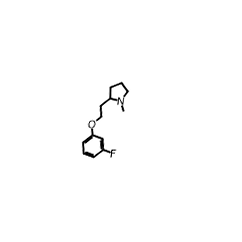 CN1CCCC1CCOc1cccc(F)c1